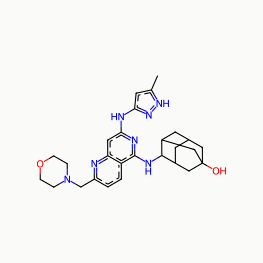 Cc1cc(Nc2cc3nc(CN4CCOCC4)ccc3c(NC3C4CC5CC3CC(O)(C5)C4)n2)n[nH]1